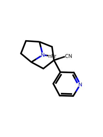 CCCN1C2CCC1CC(C#N)(c1cccnc1)C2